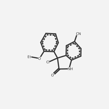 CCOc1ccccc1C1(Cl)C(=O)Nc2ccc(C#N)cc21